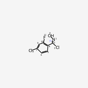 O/N=C(/Cl)c1ccc(Cl)cc1F